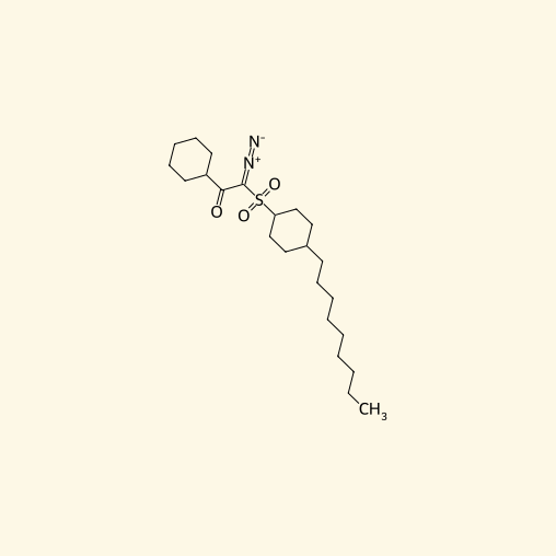 CCCCCCCCCC1CCC(S(=O)(=O)C(=[N+]=[N-])C(=O)C2CCCCC2)CC1